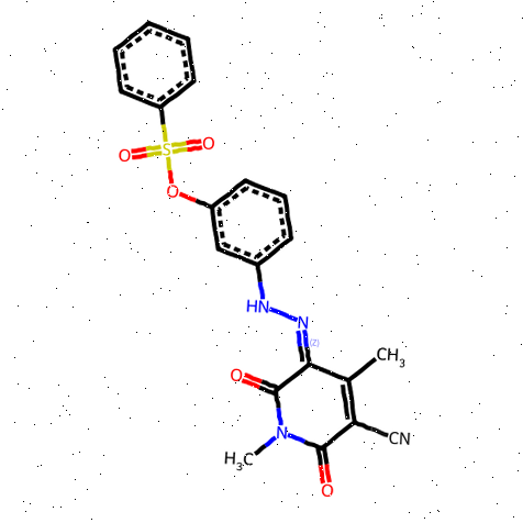 CC1=C(C#N)C(=O)N(C)C(=O)/C1=N\Nc1cccc(OS(=O)(=O)c2ccccc2)c1